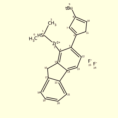 C[SiH](C)[Zr+2][c]1c(C2=CC(C(C)(C)C)=CC2)ccc2c1Cc1ccccc1-2.[F-].[F-]